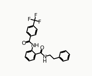 O=C(Nc1ccccc1C(=O)NCCc1ccccc1)c1ccc(C(F)(F)F)cc1